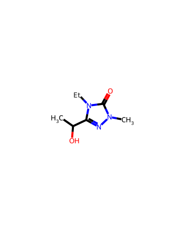 CCn1c(C(C)O)nn(C)c1=O